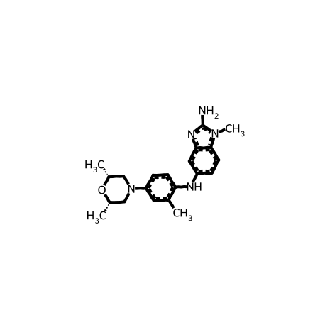 Cc1cc(N2C[C@@H](C)O[C@@H](C)C2)ccc1Nc1ccc2c(c1)nc(N)n2C